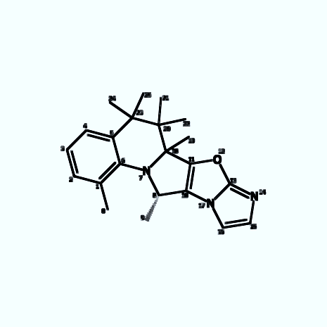 Cc1cccc2c1N1[C@@H](C)c3c(oc4nccn34)C1(C)C(C)(C)C2(C)C